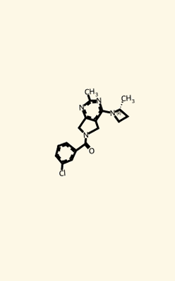 Cc1nc2c(c(N3CC[C@H]3C)n1)CN(C(=O)c1cccc(Cl)c1)C2